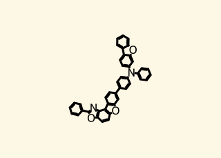 c1ccc(-c2nc3c(ccc4oc5cc(-c6ccc(N(c7ccccc7)c7ccc8c(c7)oc7ccccc78)cc6)ccc5c43)o2)cc1